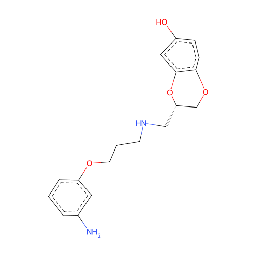 Nc1cccc(OCCCNC[C@H]2COc3ccc(O)cc3O2)c1